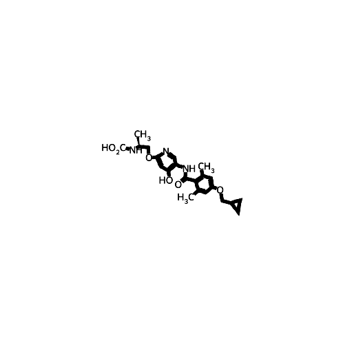 Cc1cc(OCC2CC2)cc(C)c1C(=O)Nc1cnc(OC[C@H](C)NC(=O)O)cc1O